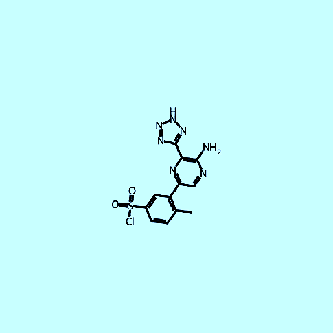 Cc1ccc(S(=O)(=O)Cl)cc1-c1cnc(N)c(-c2nn[nH]n2)n1